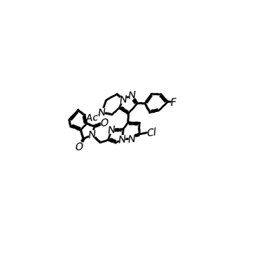 CC(=O)N1CCn2nc(-c3ccc(F)cc3)c(-c3cc(Cl)nn4cc(CN5C(=O)c6ccccc6C5=O)nc34)c2C1